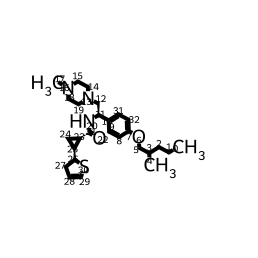 CCCC(C)COc1ccc([C@H](CN2CCN(C)CC2)NC(=O)[C@H]2C[C@@H]2C2CC=CS2)cc1